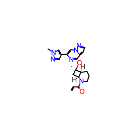 C=CC(=O)N1CCC[C@H]2[C@@H]1C[C@@]2(C)Oc1nc(-c2cnn(C)c2)cn2nccc12